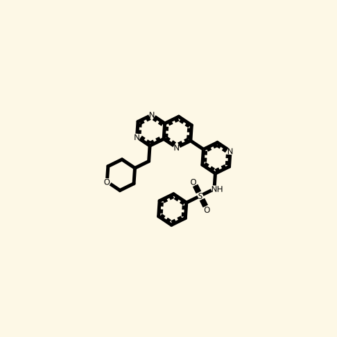 O=S(=O)(Nc1cncc(-c2ccc3ncnc(CC4CCOCC4)c3n2)c1)c1ccccc1